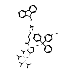 COc1ccc(C(OC[C@@H]2C[C@@H](OP(N(C(C)C)C(C)C)N(C(C)C)C(C)C)CN2C(=O)CCCNC(=O)OCC2c3ccccc3-c3ccccc32)(c2ccccc2)c2ccc(OC)cc2)cc1